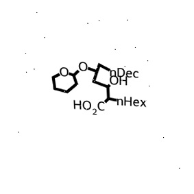 CCCCCCCCCCCC(CC(O)C(CCCCCC)C(=O)O)OC1CCCCO1